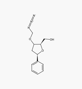 [N-]=[N+]=NCOC1C[C@H](c2ccccc2)O[C@@H]1CO